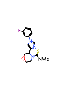 CNC(=S)N1CCOCC1c1cn(-c2cccc(I)c2)cn1